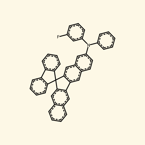 Fc1cccc(N(c2ccccc2)c2ccc3cc4c(cc3c2)C2(c3ccccc3-c3ccccc32)c2cc3ccccc3cc2-4)c1